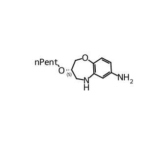 CCCCCO[C@H]1CNc2cc(N)ccc2OC1